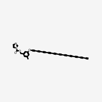 C#CC#CC#CC#CC#CC#CC#CC#CC#CC#CC#COc1cc(C)cc(COC(=O)n2ccnc2)c1